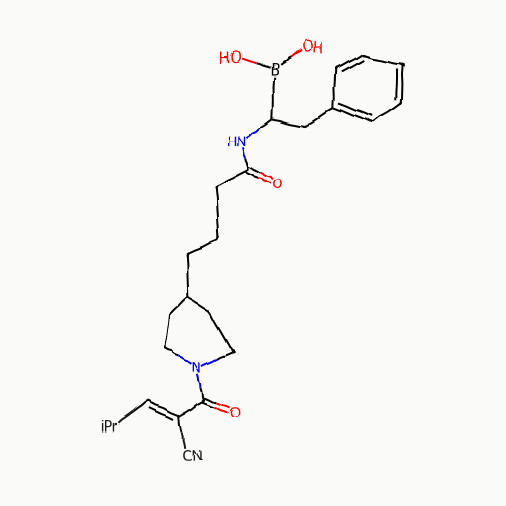 CC(C)C=C(C#N)C(=O)N1CCC(CCCC(=O)NC(Cc2ccccc2)B(O)O)CC1